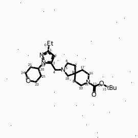 CCc1cc(CN2CCC3(CCN(C(=O)OC(C)(C)C)CC3)C2)n(C2CCOCC2)n1